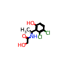 C[C@H](NC(=O)CO)c1c(O)ccc(Cl)c1Cl